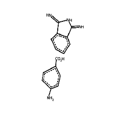 N=C1NC(=N)c2ccccc21.Nc1ccc(C(=O)O)cc1